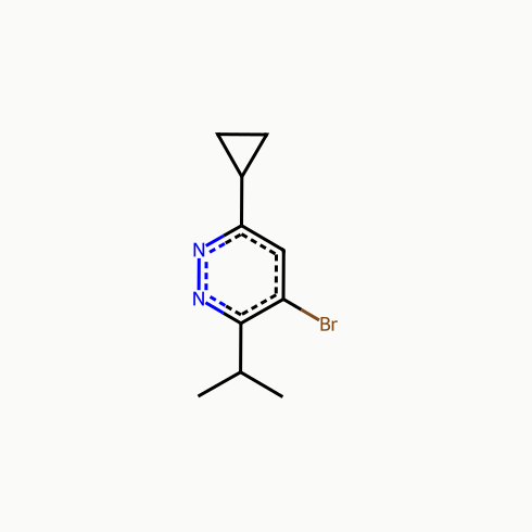 CC(C)c1nnc(C2CC2)cc1Br